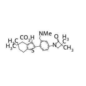 CNCc1cc(N2CC(C)(C)C2=O)ccc1-c1sc2c(c1C(=O)O)CC(C)(C)CC2